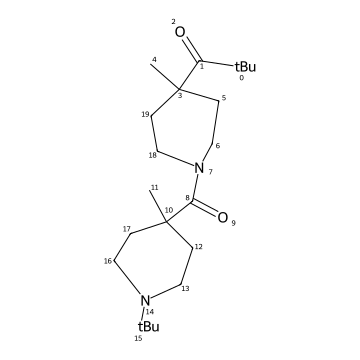 CC(C)(C)C(=O)C1(C)CCN(C(=O)C2(C)CCN(C(C)(C)C)CC2)CC1